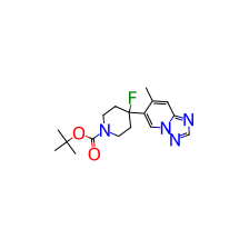 Cc1cc2ncnn2cc1C1(F)CCN(C(=O)OC(C)(C)C)CC1